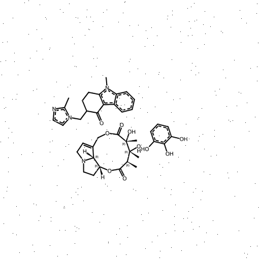 C[C@H]1C(=O)O[C@@H]2CCN3CC=C(COC(=O)[C@](C)(O)[C@]1(C)O)[C@H]23.Cc1nccn1CC1CCc2c(c3ccccc3n2C)C1=O.Oc1cccc(O)c1O